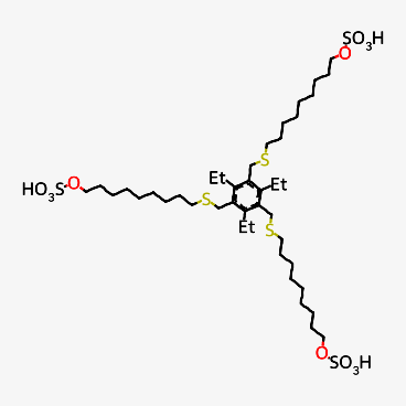 CCc1c(CSCCCCCCCCCOS(=O)(=O)O)c(CC)c(CSCCCCCCCCCOS(=O)(=O)O)c(CC)c1CSCCCCCCCCCOS(=O)(=O)O